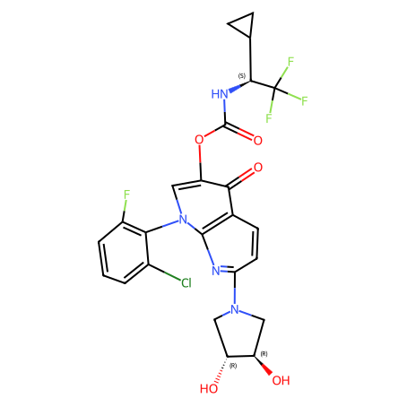 O=C(N[C@@H](C1CC1)C(F)(F)F)Oc1cn(-c2c(F)cccc2Cl)c2nc(N3C[C@@H](O)[C@H](O)C3)ccc2c1=O